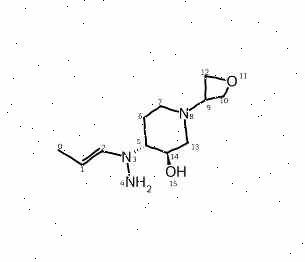 CC=CN(N)[C@@H]1CCN(C2COC2)C[C@H]1O